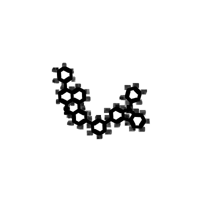 c1ccc(-c2ccc3c4c(cccc24)-c2cc(-c4cccc(-c5ccc6c(c5)c5ccccc5n6-c5ccccc5)c4)ccc2S3)cc1